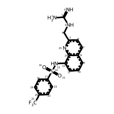 N=C(N)NCc1ccc2cccc(NS(=O)(=O)c3ccc(C(F)(F)F)cc3)c2n1